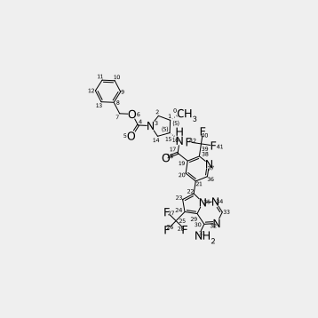 C[C@H]1CN(C(=O)OCc2ccccc2)C[C@H]1NC(=O)c1cc(-c2cc(C(F)(F)F)c3c(N)ncnn23)cnc1C(F)(F)F